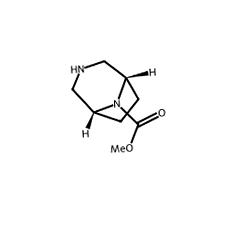 COC(=O)N1[C@@H]2CC[C@H]1CNC2